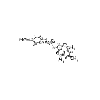 C#Cc1ccc(CNC(=O)CC2CC(=O)C(c3c(C)cc(C)cc3C)C2=O)cc1